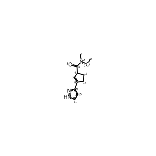 CON(C)C(=O)C1C=C(c2cc[nH]n2)CC1